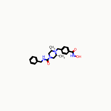 C[C@@H]1CN(C(=O)NCc2ccccc2)C[C@H](C)N1Cc1ccc(C(=O)NO)cc1